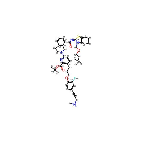 CN(C)CC#Cc1ccc(OCCCc2ccc(N3CCc4cccc(C(=O)N=c5sc6ccccc6n5COCC[Si](C)(C)C)c4C3)nc2C(=O)OC(C)(C)C)c(F)c1